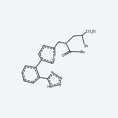 CCCCC(=O)N(Cc1ccc(-c2ccccc2-c2nnn[nH]2)cc1)CC(C(=O)OCC)C(C)C